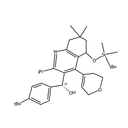 CC(C)c1nc2c(c(C3=CCOCC3)c1[C@H](O)c1ccc(C(C)(C)C)cc1)C(O[Si](C)(C)C(C)(C)C)CC(C)(C)C2